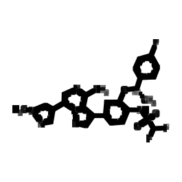 C[C@H](Oc1cc(-c2cnn3c(-c4cnn(C)c4)cnc(N)c23)ccc1NS(=O)(=O)C(F)F)c1ccc(F)cc1